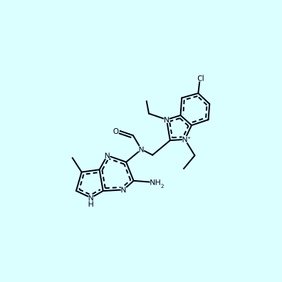 CCn1c(CN(C=O)c2nc3c(C)c[nH]c3nc2N)[n+](CC)c2ccc(Cl)cc21